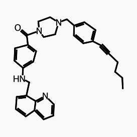 CCCCC#Cc1ccc(CN2CCN(C(=O)c3ccc(NCc4cccc5cccnc45)cc3)CC2)cc1